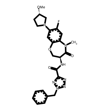 CO[C@H]1CCN(c2cc3c(cc2F)N(C)C(=O)[C@@H](NC(=O)c2nnn(Cc4ccccc4)n2)CO3)C1